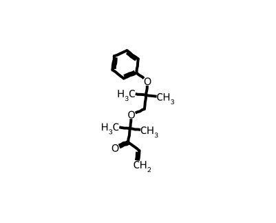 C=CC(=O)C(C)(C)OCC(C)(C)Oc1ccccc1